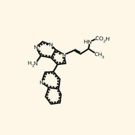 CC(C=Cn1cc(-c2cnc3ccccc3c2)c2c(N)ncnc21)NC(=O)O